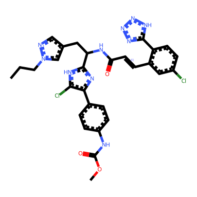 CCCn1cc(CC(NC(=O)/C=C/c2cc(Cl)ccc2-c2nnn[nH]2)c2nc(-c3ccc(NC(=O)OC)cc3)c(Cl)[nH]2)cn1